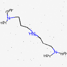 CCCN(CCC)CCCNCCCN(CCC)CCC